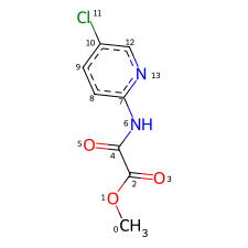 COC(=O)C(=O)Nc1ccc(Cl)cn1